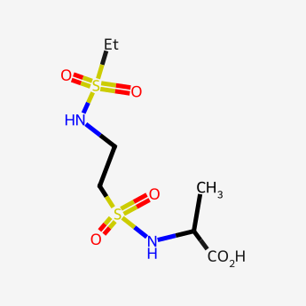 CCS(=O)(=O)NCCS(=O)(=O)NC(C)C(=O)O